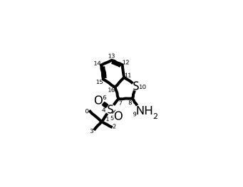 CC(C)(C)S(=O)(=O)C1C(N)SC2C=CC=CC21